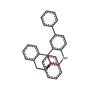 c1ccc(-c2ccc3c(c2)C24c5ccccc5C(c5ccccc52)c2cccc(c24)N3)cc1